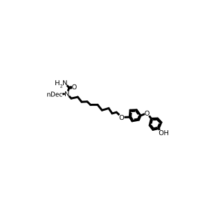 CCCCCCCCCCN(CCCCCCCCCCOc1ccc(Oc2ccc(O)cc2)cc1)C(N)=O